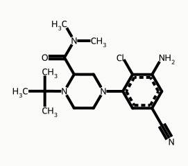 CN(C)C(=O)C1CN(c2cc(C#N)cc(N)c2Cl)CCN1C(C)(C)C